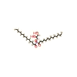 CCCCCCCCCCCCCC(=O)P(OCC(O)CO)C(=O)CCCCCCCCCCCCC